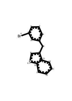 Brc1cccc(Cc2csc3ccccc23)c1